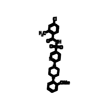 COc1ccccc1N1CCN(c2ccc(S(=O)(=O)NC(=O)c3ccc(Cl)cc3C(F)(F)F)cn2)CC1